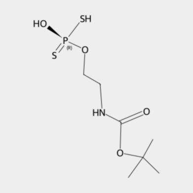 CC(C)(C)OC(=O)NCCO[P@](O)(=S)S